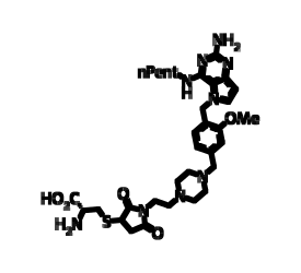 CCCCCNc1nc(N)nc2ccn(Cc3ccc(CN4CCN(CCN5C(=O)CC(SC[C@H](N)C(=O)O)C5=O)CC4)cc3OC)c12